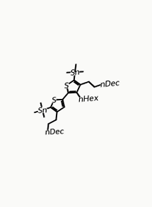 CCCCCCCCCCCCc1cc(-c2s[c]([Sn]([CH3])([CH3])[CH3])c(CCCCCCCCCCCC)c2CCCCCC)s[c]1[Sn]([CH3])([CH3])[CH3]